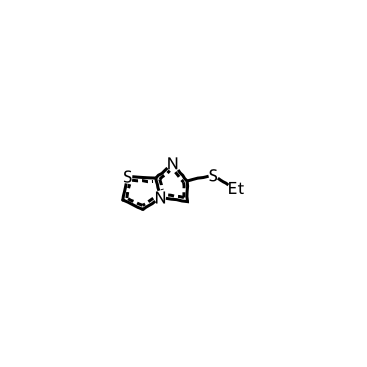 CCSc1cn2ccsc2n1